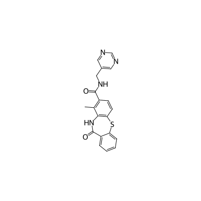 Cc1c(C(=O)NCc2cncnc2)ccc2c1NC(=O)c1ccccc1S2